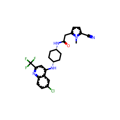 Cn1c(C#N)ccc1CC(=O)N[C@H]1CC[C@@H](Nc2cc(C(F)(F)F)nc3ccc(Cl)cc23)CC1